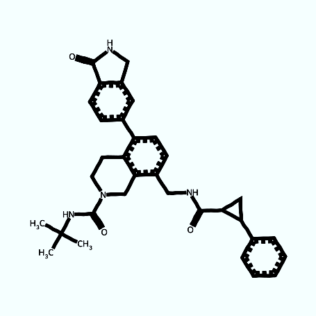 CC(C)(C)NC(=O)N1CCc2c(-c3ccc4c(c3)CNC4=O)ccc(CNC(=O)C3CC3c3ccccc3)c2C1